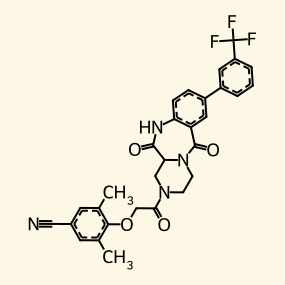 Cc1cc(C#N)cc(C)c1OCC(=O)N1CCN2C(=O)c3cc(-c4cccc(C(F)(F)F)c4)ccc3NC(=O)C2C1